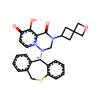 O=C1c2c(O)c(=O)ccn2N([C@H]2c3ccccc3CSc3ccccc32)CN1C1CC2(COC2)C1